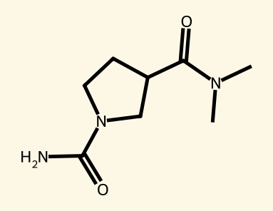 CN(C)C(=O)C1CCN(C(N)=O)C1